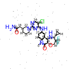 Cn1c(=O)c2c(c3cc(Nc4nc(N5CCC[C@@H](CC(N)=O)C5)ncc4Cl)ccc31)N[C@@H](C1CC1)C(F)(F)CO2